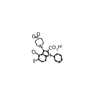 O=C(O)c1c(N2CCS(=O)(=O)CC2)c2c(Cl)c(F)ccc2n1-c1ccccc1